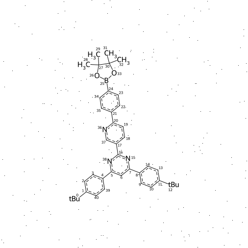 CC(C)(C)c1ccc(-c2cc(-c3ccc(C(C)(C)C)cc3)nc(-c3ccc(-c4ccc(B5OC(C)(C)C(C)(C)O5)cc4)nc3)n2)cc1